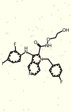 O=C(NOCCO)c1c(Nc2ccc(I)cc2F)c2cnccc2n1Cc1ccc(F)cc1